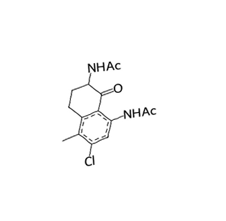 CC(=O)Nc1cc(Cl)c(C)c2c1C(=O)C(NC(C)=O)CC2